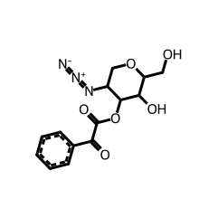 [N-]=[N+]=NC1COC(CO)C(O)C1OC(=O)C(=O)c1ccccc1